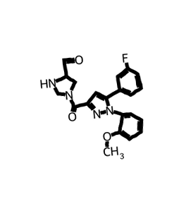 COc1ccccc1-n1nc(C(=O)N2CNC(C=O)C2)cc1-c1cccc(F)c1